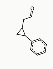 O=CCC1CC1c1ccccc1